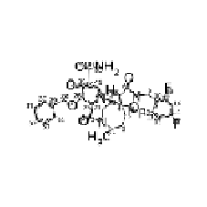 C[C@H]1CC[C@]2(CC(=O)N(Cc3c(F)cc(F)cc3F)O2)[C@H]2CN1C(=O)c1c(OCc3ccccc3)c(=O)c(C(N)=O)cn12